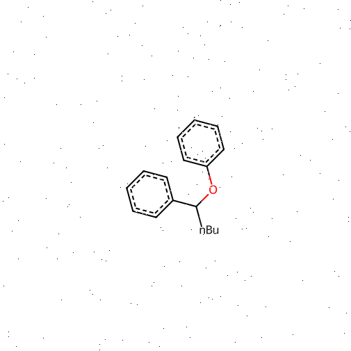 CCCCC(Oc1cc[c]cc1)c1ccccc1